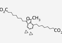 C1CC1.C1CC1.Cc1oc(CCCCCCCC(=O)O)c2cccc(CCCCCCCC(=O)O)c12